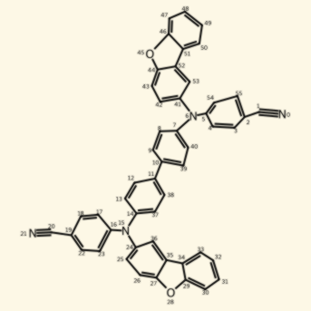 N#Cc1ccc(N(c2ccc(-c3ccc(N(c4ccc(C#N)cc4)c4ccc5oc6ccccc6c5c4)cc3)cc2)c2ccc3oc4ccccc4c3c2)cc1